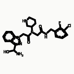 NC(O)c1nn(CC(=O)N(CC(=O)NCc2cccc(Cl)c2F)C2CCCNC2)c2ccccc12